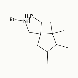 CCNCC1(CP)CC(C)C(C)C1(C)C